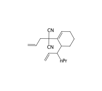 C=CCC(C#N)(C#N)C1=CCCCC1C(C=C)CCC